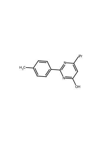 Cc1ccc(-c2nc(O)cc(C(C)C)n2)cc1